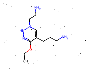 CCOC1=NNN(CCN)C=C1CCCN